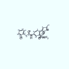 Cc1cc(-c2ccc(NC(=O)Cc3ccccc3Cl)cc2S(N)(=O)=O)sn1